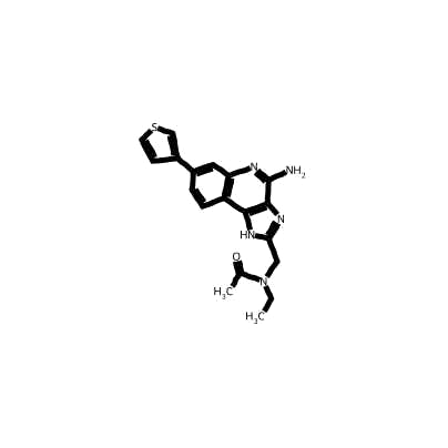 CCN(Cc1nc2c(N)nc3cc(-c4ccsc4)ccc3c2[nH]1)C(C)=O